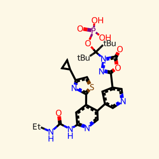 CCNC(=O)Nc1cc(-c2nc(C3CC3)cs2)c(-c2cncc(-c3nn(C(OP(=O)(O)O)(C(C)(C)C)C(C)(C)C)c(=O)o3)c2)cn1